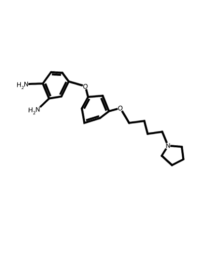 Nc1ccc(Oc2cccc(OCCCCN3CCCC3)c2)cc1N